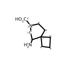 NC1CN(C(=O)O)CCC12CCC2